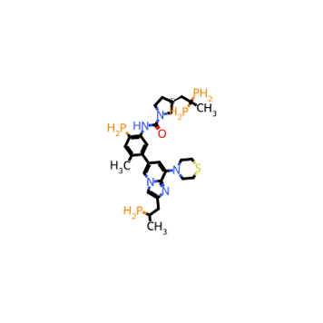 Cc1cc(P)c(NC(=O)N2CC[C@@H](CC(C)(P)P)C2)cc1-c1cc(N2CCSCC2)c2nc(CC(C)P)cn2c1